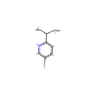 CCCCCCC(CCCC)c1ccc(F)cn1